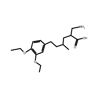 CCOc1ccc(CCC(C)CC(CN)C(=O)O)cc1OCC